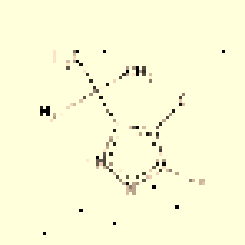 CC(C)(C)c1[nH]nc(F)c1Cl